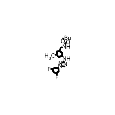 Cc1cc(CNC(=O)OC(C)(C)C)cc(Nc2ncn(-c3cc(F)cc(F)c3)n2)c1